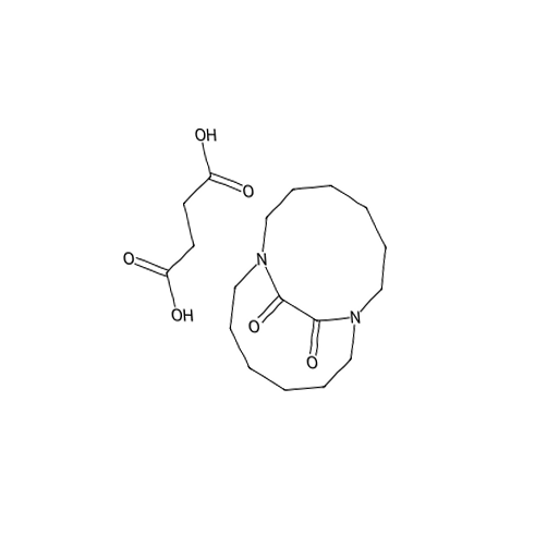 O=C(O)CCC(=O)O.O=C1C(=O)N2CCCCCCN1CCCCCC2